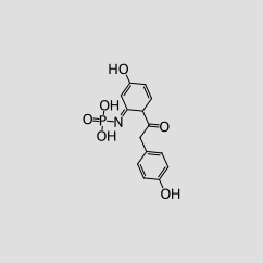 O=C(Cc1ccc(O)cc1)C1C=CC(O)=CC1=NP(=O)(O)O